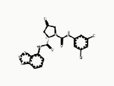 O=C1C[C@@H](C(=O)Nc2cccc3nsnc23)N(C(=O)Nc2cc(Cl)cc(Cl)c2)C1